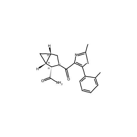 Cc1nc(C(=O)N2C[C@H]3C[C@H]3[C@H]2C(N)=O)c(-c2ccccc2C)s1